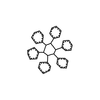 c1ccc([C]2C(c3ccccc3)C(c3ccccc3)C(c3ccccc3)C(c3ccccc3)C2c2ccccc2)cc1